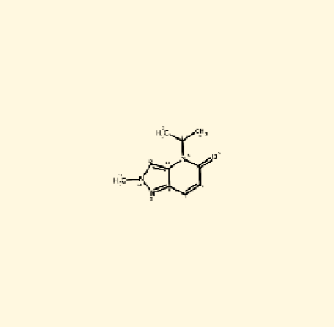 CC(C)n1c(=O)ccc2nn(C)cc21